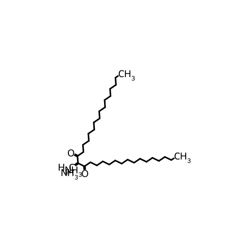 C=C(C(=O)CCCCCCCCCCCCCCC)C(=O)CCCCCCCCCCCCCCC.N.N